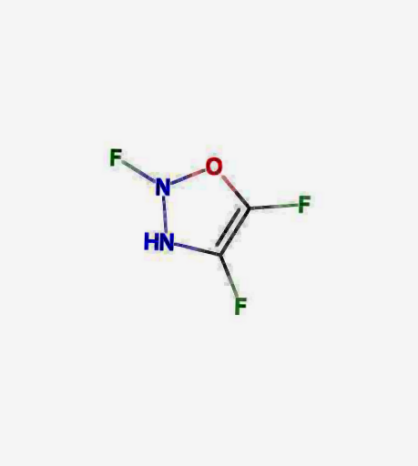 FC1=C(F)ON(F)N1